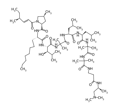 CCCCCCCC[C@H](NC(=O)[C@@H]1C[C@H](C)CN1C(=O)/C=C/[C@@H](C)CC)C(=O)N[C@H](C(=O)NC(C)(C)C(=O)N[C@@H](CC(C)C)C(=O)N[C@@H](CC(C)C)C(=O)NC(C)(C)C(=O)NC(C)(C)C(=O)NCCC(=O)N[C@@H](C)CN(C)C)[C@H](O)C(C)C